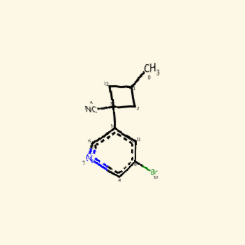 CC1CC(C#N)(c2cncc(Br)c2)C1